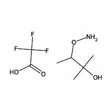 CC(ON)C(C)(C)O.O=C(O)C(F)(F)F